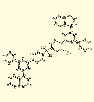 CCC(CC)(C1=CC(C)C(c2nc(-c3ccccc3)cc(-c3cccc4ccccc34)n2)C=C1)c1ccc(-c2nc(-c3ccccc3)cc(-c3cccc4ccccc34)n2)cc1